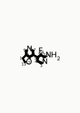 Nc1nccc(-c2cncc3c2OCC3)c1F